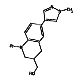 CC(C)N1CC(CO)Cc2cc(-c3cnn(C)c3)ccc21